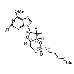 COc1nc(N)nc2c1ncn2[C@@H]1O[C@@H]2CO[P@@](=O)(NCCSSC(C)(C)C)O[C@H]2[C@@]1(C)F